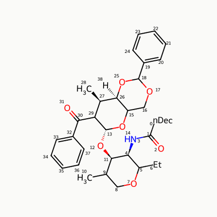 CCCCCCCCCCC(=O)N[C@H]1C(CC)OCC(C)[C@H]1O[C@H]1OC2COC(c3ccccc3)O[C@@H]2[C@H](C)C1C(=O)c1ccccc1